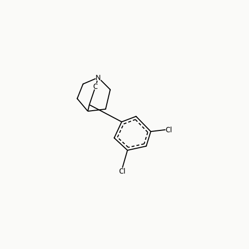 Clc1cc(Cl)cc(C2CN3CCC2CC3)c1